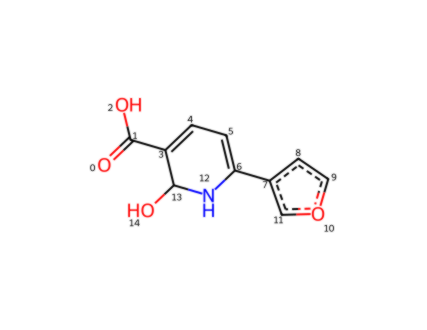 O=C(O)C1=CC=C(c2ccoc2)NC1O